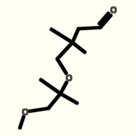 COCC(C)(C)OCC(C)(C)CC=O